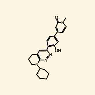 Cn1ccc(-c2ccc(-c3cc4c(nn3)N(C3CCCCC3)CCC4)c(O)c2)cc1=O